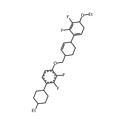 CCOC1CC=C(C2C=CC(COc3ccc(C4CCC(CC)CC4)c(F)c3F)CC2)C(F)=C1F